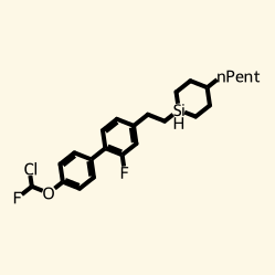 CCCCCC1CC[SiH](CCc2ccc(-c3ccc(OC(F)Cl)cc3)c(F)c2)CC1